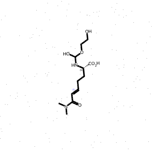 CN(C)C(=O)/C=C/CC[C@H](NC(O)OCCO)C(=O)O